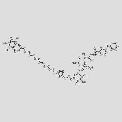 C[C@H]1[C@H]([C@H](O)[C@H](O)CNC(=O)c2cccc(Oc3ccccc3)c2)O[C@@](OC[C@H]2O[C@@H](OCCc3cn(CCOCCOCCOCCOCCC(=O)Oc4c(F)c(F)c(F)c(F)c4F)nn3)[C@H](O)[C@@H](O)[C@H]2O)(C(=O)O)C[C@@H]1O